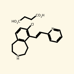 Clc1ccc2c(c1/C=C/c1ccccn1)CCNCC2.O=C(O)CCC(=O)O